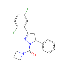 O=C(N1CCC1)N1N=C(c2cc(F)ccc2F)CC1c1ccccc1